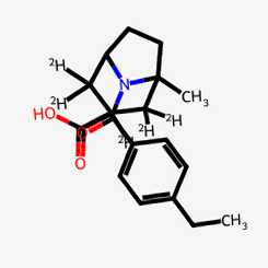 [2H]C1([2H])C2CCC(C)(N2C(=O)c2ccc(CC)cc2)C([2H])([2H])C1([2H])C(=O)O